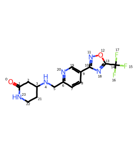 O=C1CC(NCc2ccc(-c3noc(C(F)(F)F)n3)cn2)CCN1